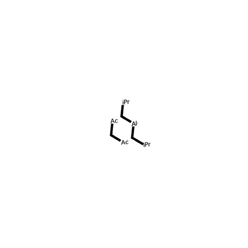 CC(=O)CC(C)=O.CC(C)[CH2][Al][CH2]C(C)C